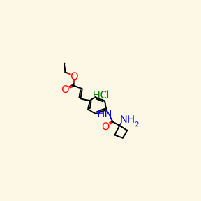 CCOC(=O)/C=C/c1ccc(NC(=O)C2(N)CCC2)cc1.Cl